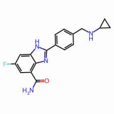 NC(=O)c1cc(F)cc2[nH]c(-c3ccc(CNC4CC4)cc3)nc12